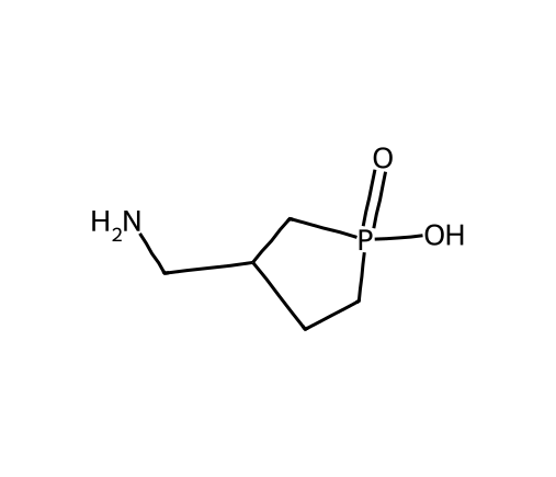 NCC1CCP(=O)(O)C1